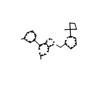 COc1cccc(-c2nc(N)nc3c2nnn3Cc2cccc(C3(O)CCC3)n2)c1